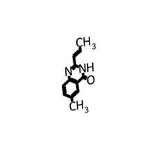 CC=Cc1nc2ccc(C)cc2c(=O)[nH]1